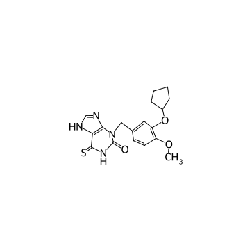 COc1ccc(Cn2c(=O)[nH]c(=S)c3[nH]cnc32)cc1OC1CCCC1